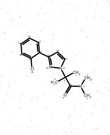 CN(C)C(=O)C(C)(C)n1ccc(-c2ccccc2Cl)n1